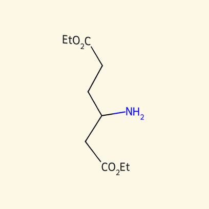 CCOC(=O)CCC(N)CC(=O)OCC